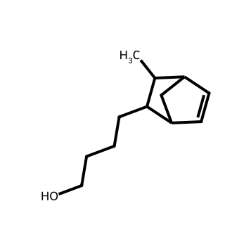 CC1C2C=CC(C2)C1CCCCO